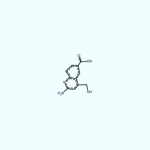 Nc1cc(CO)c2cc(C(=O)O)ccc2n1